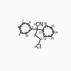 N#CC(CCCl)(c1ccccc1)c1ccccc1